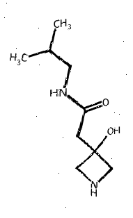 CC(C)CNC(=O)CC1(O)CNC1